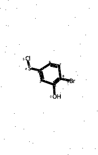 Oc1cc(SCl)ccc1Br